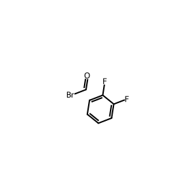 Fc1ccccc1F.O=CBr